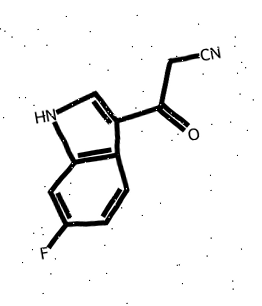 N#CCC(=O)c1c[nH]c2cc(F)ccc12